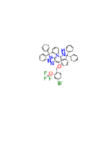 FC(F)(F)Oc1cc(Br)ccc1COc1cc(NC(c2ccccc2)(c2ccccc2)c2ccccc2)nc2c1nnn2C(c1ccccc1)(c1ccccc1)c1ccccc1